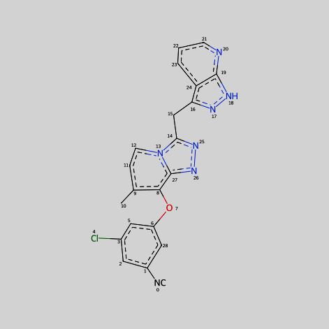 [C-]#[N+]c1cc(Cl)cc(Oc2c(C)ccn3c(Cc4n[nH]c5ncccc45)nnc23)c1